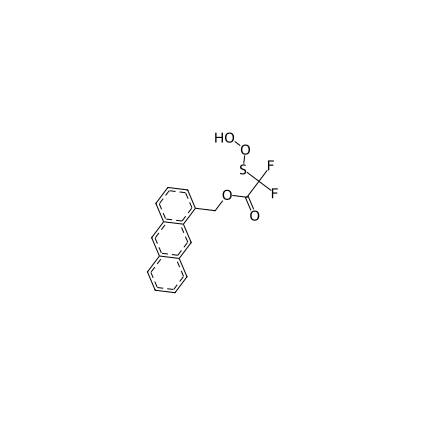 O=C(OCc1cccc2cc3ccccc3cc12)C(F)(F)SOO